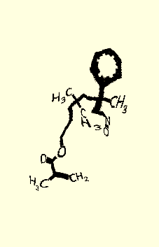 C=C(C)C(=O)OCCCC(C)(C)CC(C)(CN=O)c1ccccc1